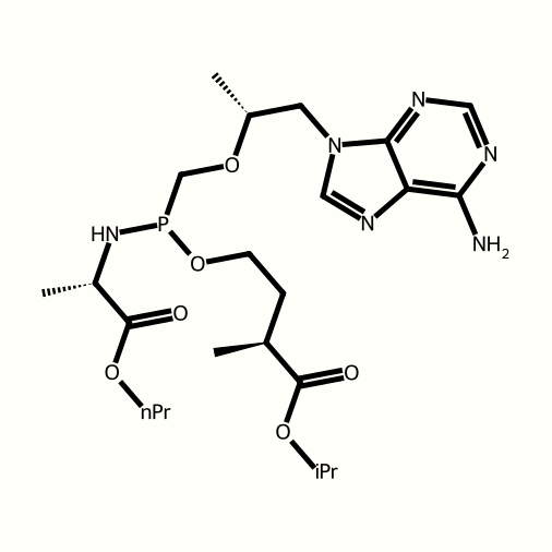 CCCOC(=O)[C@H](C)NP(CO[C@H](C)Cn1cnc2c(N)ncnc21)OCC[C@H](C)C(=O)OC(C)C